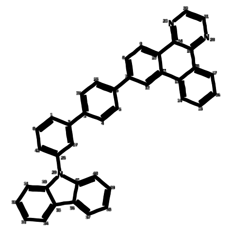 c1cc(-c2ccc(-c3ccc4c(c3)c3ccccc3c3nccnc43)cc2)cc(-n2c3ccccc3c3ccccc32)c1